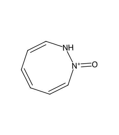 O=[N+]1\C=C/C=C\C=C/N1